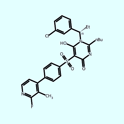 CCCCc1nc(=O)c(S(=O)(=O)c2ccc(-c3ccnc(F)c3C)cc2)c(O)n1[C@@H](CC)c1cccc(Cl)c1